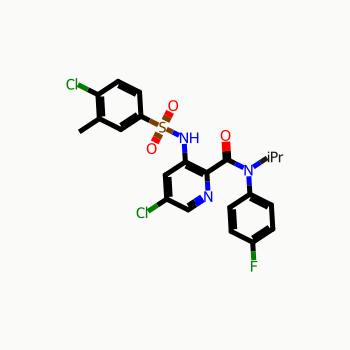 Cc1cc(S(=O)(=O)Nc2cc(Cl)cnc2C(=O)N(c2ccc(F)cc2)C(C)C)ccc1Cl